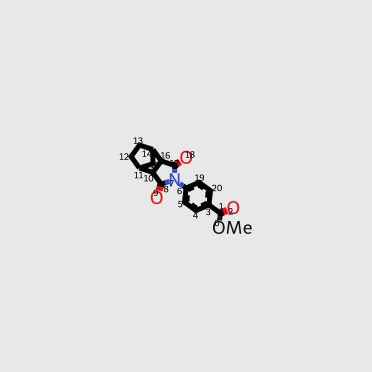 COC(=O)c1ccc(N2C(=O)C3C4CCC(C4)C3C2=O)cc1